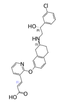 O=C(O)/C=C/c1cccnc1Oc1ccc2c(c1)C[C@@H](NC[C@H](O)c1cccc(Cl)c1)CC2